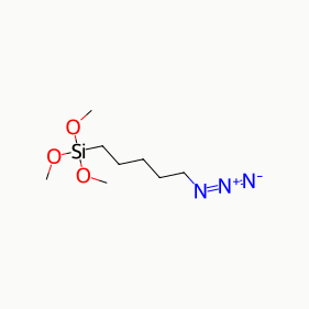 CO[Si](CCCCCN=[N+]=[N-])(OC)OC